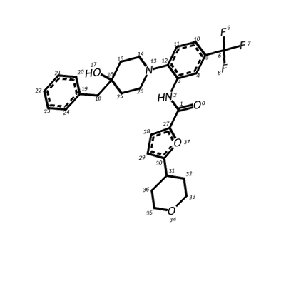 O=C(Nc1cc(C(F)(F)F)ccc1N1CCC(O)(Cc2ccccc2)CC1)c1ccc(C2CCOCC2)o1